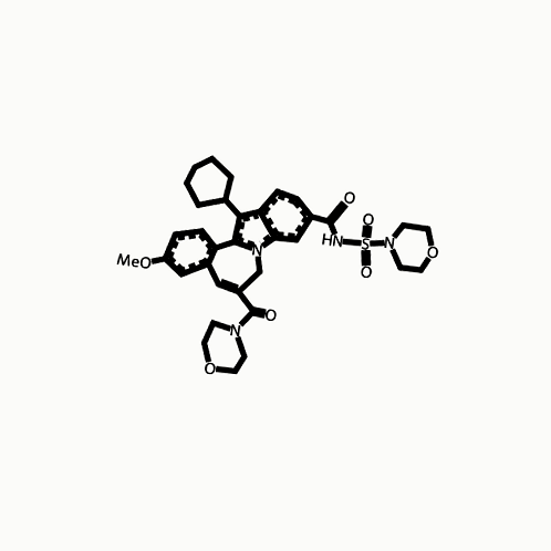 COc1ccc2c(c1)C=C(C(=O)N1CCOCC1)Cn1c-2c(C2CCCCC2)c2ccc(C(=O)NS(=O)(=O)N3CCOCC3)cc21